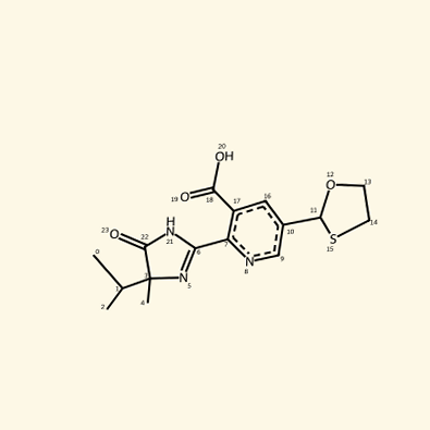 CC(C)C1(C)N=C(c2ncc(C3OCCS3)cc2C(=O)O)NC1=O